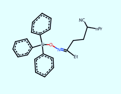 CCCC(C#N)CCC(CC)=NO[Si](c1ccccc1)(c1ccccc1)c1ccccc1